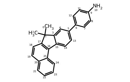 CC1(C)c2cc(-c3ccc(N)cc3)ccc2-c2c1ccc1ccccc21